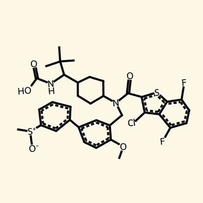 COc1ccc(-c2cccc([S+](C)[O-])c2)cc1CN(C(=O)c1sc2c(F)ccc(F)c2c1Cl)C1CCC(C(NC(=O)O)C(C)(C)C)CC1